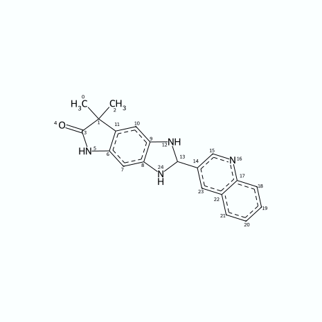 CC1(C)C(=O)Nc2cc3c(cc21)NC(c1cnc2ccccc2c1)N3